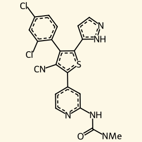 [C-]#[N+]c1c(-c2ccnc(NC(=O)NC)c2)sc(-c2ccn[nH]2)c1-c1ccc(Cl)cc1Cl